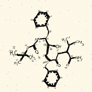 CC(C)C(CC(=O)[C@H](Cc1ccccc1)C[C@H](O)[C@H](Cc1ccccc1)NC(=O)OC(C)(C)C)C(N)=O